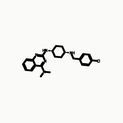 CN(C)c1nc(N[C@H]2CC[C@@H](NCc3ccc(Cl)cc3)CC2)nc2ccccc12